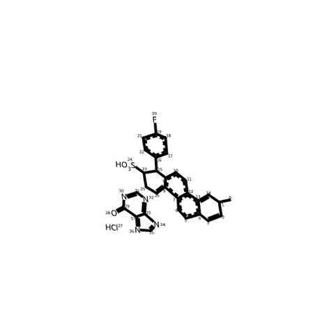 CC1C=Cc2ccc3c4c(ccc3c2=C1)C(c1ccc(F)cc1)C(S(=O)(=O)O)CC=4.Cl.O=C1N=CN=C2N=CN=C12